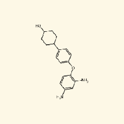 Nc1ccc(Oc2ccc(C3CCC(O)CC3)cc2)c(N)c1